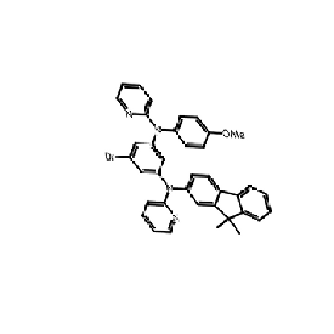 COc1ccc(N(c2cc(Br)cc(N(c3ccc4c(c3)C(C)(C)c3ccccc3-4)c3ccccn3)c2)c2ccccn2)cc1